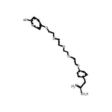 N#Cc1ccc(OCCOCCOCCOCCOc2ccc(C[C@H](N)C(=O)O)cc2)cn1